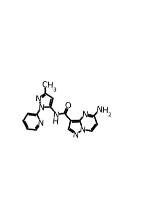 Cc1cc(NC(=O)c2cnn3ccc(N)nc23)n(-c2ccccn2)n1